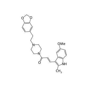 COc1ccc2[nH]c(C)c(C=CC(=O)N3CCN(CCc4ccc5c(c4)OCO5)CC3)c2c1